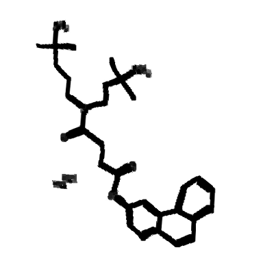 CC(C)(N)CCCN(CCC(C)(C)N)C(=O)CCC(=O)Oc1ccc2ccc3ccccc3c2c1.Cl.Cl